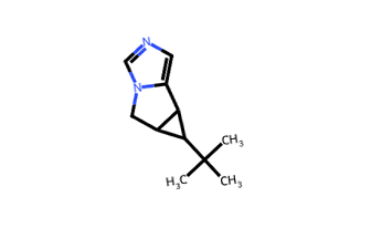 CC(C)(C)C1C2Cn3cncc3C21